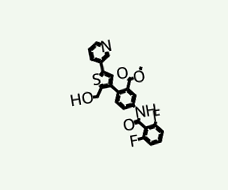 COC(=O)c1cc(NC(=O)c2c(F)cccc2F)ccc1-c1cc(-c2cccnc2)sc1CO